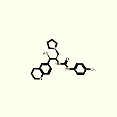 O=C(Nc1ccc(C(F)(F)F)cc1)N[C@H](CN1CCCC1)[C@H](O)c1ccc2c(c1)CCCO2